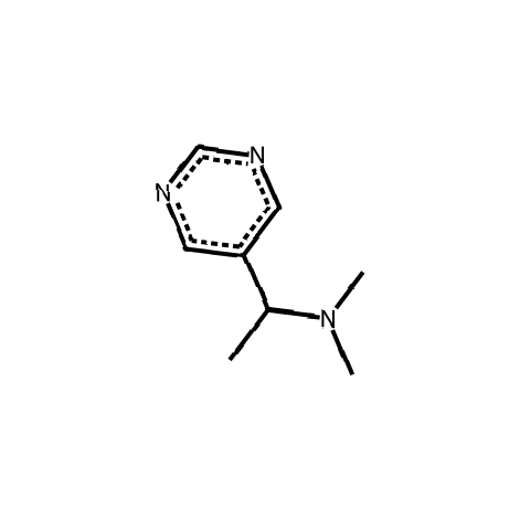 CC(c1cncnc1)N(C)C